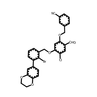 N#Cc1cccc(COc2cc(OCc3cccc(-c4ccc5c(c4)OCCO5)c3Br)c(Cl)cc2C=O)c1